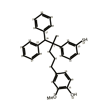 COc1cc(CCCC(C)(c2cccc(S)c2)C(c2ccccc2)c2ccccc2)ccc1O